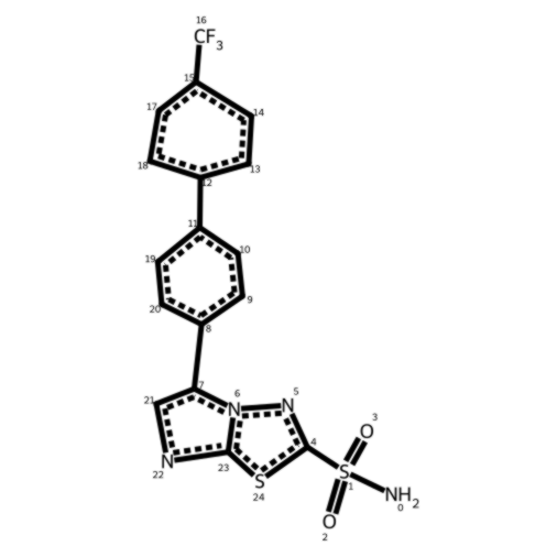 NS(=O)(=O)c1nn2c(-c3ccc(-c4ccc(C(F)(F)F)cc4)cc3)cnc2s1